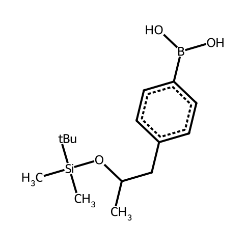 CC(Cc1ccc(B(O)O)cc1)O[Si](C)(C)C(C)(C)C